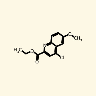 CCOC(=O)c1cc(Cl)c2cc(OC)ccc2n1